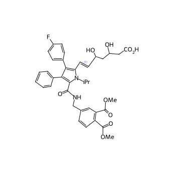 COC(=O)c1ccc(CNC(=O)c2c(-c3ccccc3)c(-c3ccc(F)cc3)c(/C=C/C(O)CC(O)CC(=O)O)n2C(C)C)cc1C(=O)OC